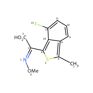 CO/N=C(/C(=O)O)c1sc(C)c2cccc(F)c12